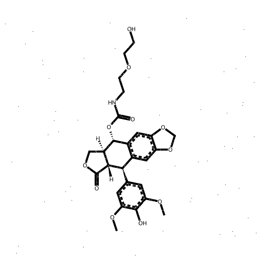 COc1cc([C@@H]2c3cc4c(cc3[C@@H](OC(=O)NCCOCCO)[C@@H]3COC(=O)[C@@H]23)OCO4)cc(OC)c1O